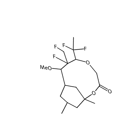 COC1C2CC(C)CC(C)(C2)OC(=O)COC(C(C)(F)F)C1(F)CF